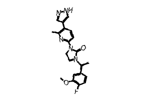 COc1cc(C(C)N2CCN(c3ccc(-c4cn[nH]c4)c(C)n3)C2=O)ccc1F